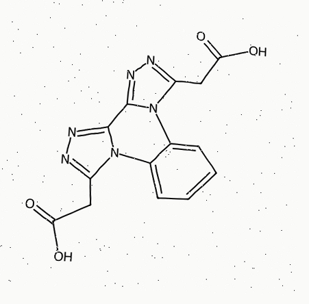 O=C(O)Cc1nnc2c3nnc(CC(=O)O)n3c3ccccc3n12